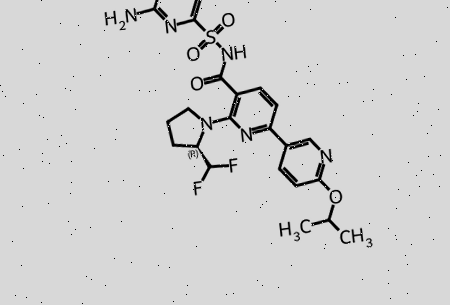 CC(C)Oc1ccc(-c2ccc(C(=O)NS(=O)(=O)c3cccc(N)n3)c(N3CCC[C@@H]3C(F)F)n2)cn1